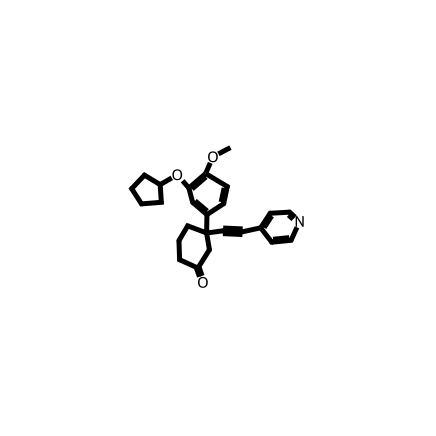 COc1ccc(C2(C#Cc3ccncc3)CCCC(=O)C2)cc1OC1CCCC1